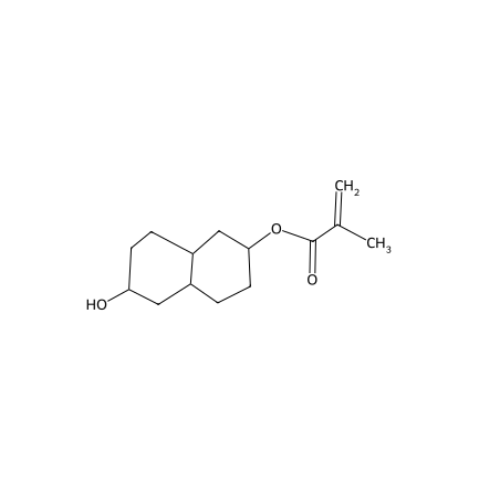 C=C(C)C(=O)OC1CCC2CC(O)CCC2C1